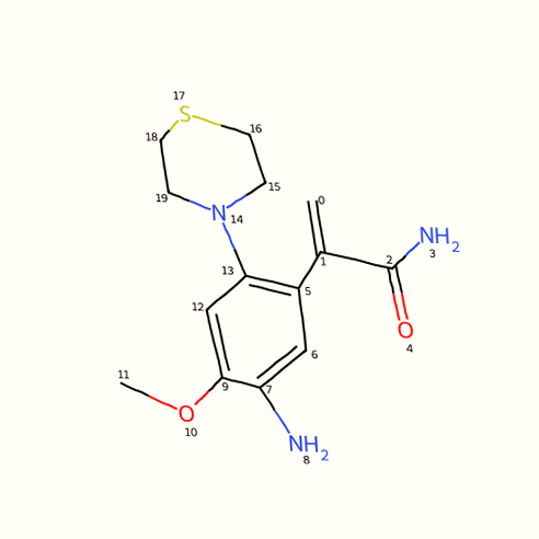 C=C(C(N)=O)c1cc(N)c(OC)cc1N1CCSCC1